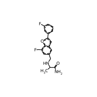 CC(NCc1cc(F)c2oc(-c3cccc(F)c3)cc2c1)C(N)=O